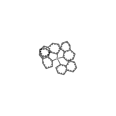 c1ccc2c(S(c3cccc4ccccc34)(c3cccc4ccccc34)c3cccc4ccccc34)cccc2c1